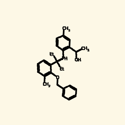 CCC(CC)(Pc1ccc(C)cc1C(C)O)c1cccc(C)c1OCc1ccccc1